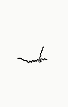 CCCCCCCCCCCCN1C=CN(CCCCC)C1CCCCCCCC